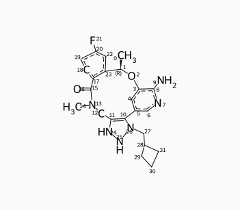 C[C@H]1Oc2cc(cnc2N)C2=C(CN(C)C(=O)c3ccc(F)cc31)NNN2CC1CCC1